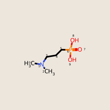 CN(C)CCCP(=O)(O)O